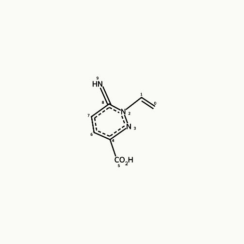 C=Cn1nc(C(=O)O)ccc1=N